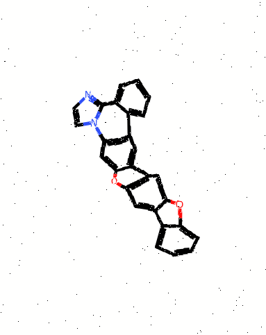 c1ccc2c(c1)oc1cc3c(cc12)oc1cc2c(cc13)c1ccccc1c1nccn21